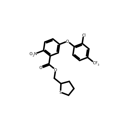 O=C(OCC1CCCS1)c1cc(Oc2ccc(C(F)(F)F)cc2Cl)ccc1[N+](=O)[O-]